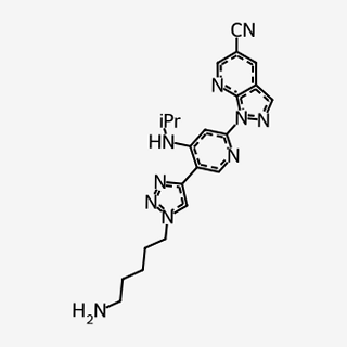 CC(C)Nc1cc(-n2ncc3cc(C#N)cnc32)ncc1-c1cn(CCCCCN)nn1